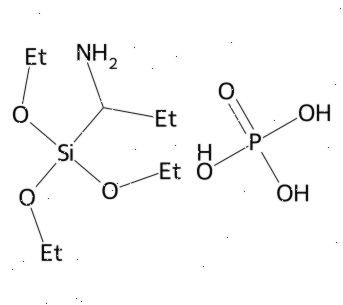 CCO[Si](OCC)(OCC)C(N)CC.O=P(O)(O)O